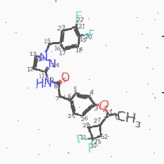 CC(Oc1ccc(CC(=O)Nc2ccn(Cc3ccc(F)c(F)c3)n2)cc1)C1CC(F)(F)C1